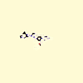 C=CC(=O)Nc1cc(Nc2nccc(-n3cc(CN4CCC4)c(C4CC4)n3)n2)c(OC)cc1N1CCN(C(C)=O)CC1